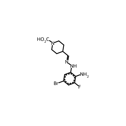 Nc1c(F)cc(Br)cc1NN=CC1CCN(C(=O)O)CC1